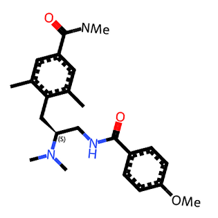 CNC(=O)c1cc(C)c(C[C@@H](CNC(=O)c2ccc(OC)cc2)N(C)C)c(C)c1